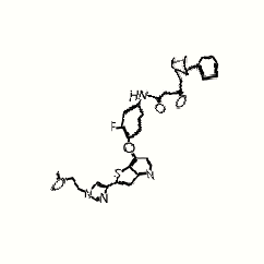 COCCn1cnc(-c2cc3nccc(Oc4ccc(NC(=O)CC(=O)Nc5ccccc5)cc4F)c3s2)c1